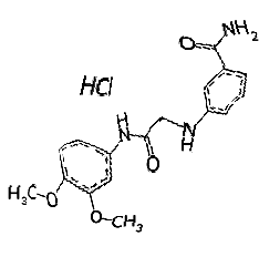 COc1ccc(NC(=O)CNc2cccc(C(N)=O)c2)cc1OC.Cl